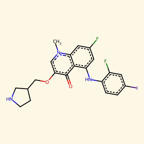 Cn1cc(OCC2CCNC2)c(=O)c2c(Nc3ccc(I)cc3F)cc(F)cc21